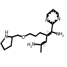 C/C(N)=C/C(CCCOCC1CCCN1)=C(\N)c1ncccn1